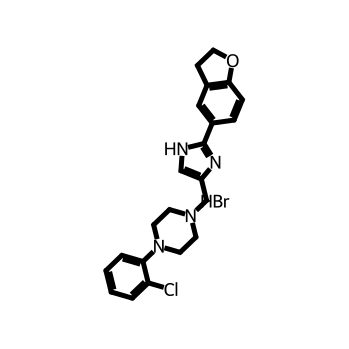 Br.Clc1ccccc1N1CCN(Cc2c[nH]c(-c3ccc4c(c3)CCO4)n2)CC1